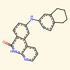 O=c1[nH]c2ncccc2c2cc(Nc3ccc4c(c3)CCCC4)ccc12